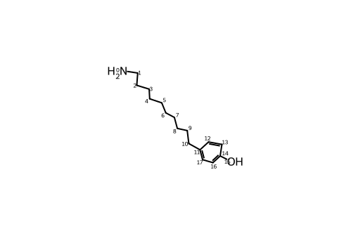 NCCCCCCCCCCc1ccc(O)cc1